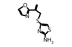 C=C(CSc1csc(N)n1)c1ncco1